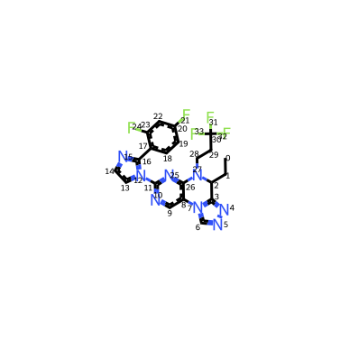 CCC1c2nncn2-c2cnc(-n3ccnc3-c3ccc(F)cc3F)nc2N1CCC(F)(F)F